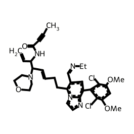 C=CC(NC(=O)C#CC)C(/C=C/CCc1c(/C=N\CC)cc(-c2c(Cl)c(OC)cc(OC)c2Cl)c2nccn12)N1CCOCC1